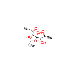 CC(=O)OCOC(O)(C(O)C(=O)C(C)(C)C)C(O)C(=O)C(C)(C)C